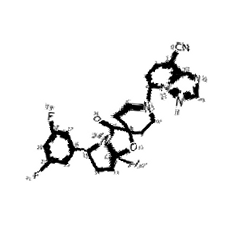 N#Cc1ccc(N2CCC3(CC2)O[C@@H]2CC[C@@H](c4cc(F)cc(F)c4)N2C3=O)n2ncnc12